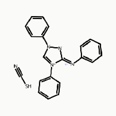 N#CS.c1ccc(/N=c2\[n-]n(-c3ccccc3)c[n+]2-c2ccccc2)cc1